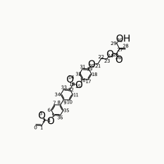 C=CC(=O)Oc1ccc(-c2ccc(C(=O)Oc3ccc(OCCCOC(=O)C(=C)CO)cc3)cc2)cc1